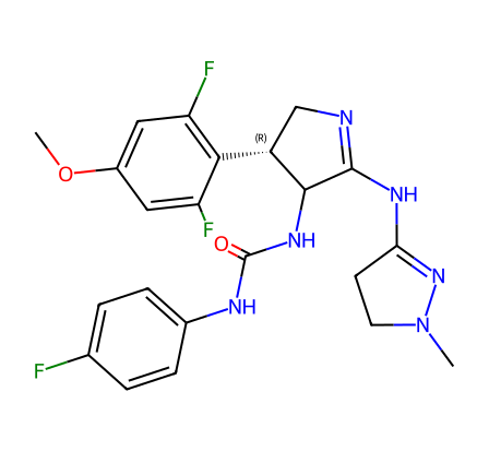 COc1cc(F)c([C@@H]2CN=C(NC3=NN(C)CC3)C2NC(=O)Nc2ccc(F)cc2)c(F)c1